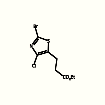 CCOC(=O)CCc1sc(Br)nc1Cl